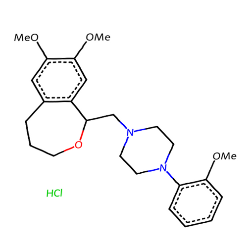 COc1cc2c(cc1OC)C(CN1CCN(c3ccccc3OC)CC1)OCCC2.Cl